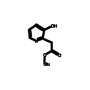 CC(C)(C)OC(=O)Cc1ncccc1O